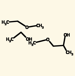 CCO.CCOC.COCC(C)O